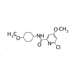 COc1cc(Cl)nc(C(=O)NC2CCC(OC)CC2)c1